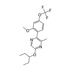 CCC(CC)Oc1cnc(-c2ccc(OC(F)(F)F)cc2OC)c(C)n1